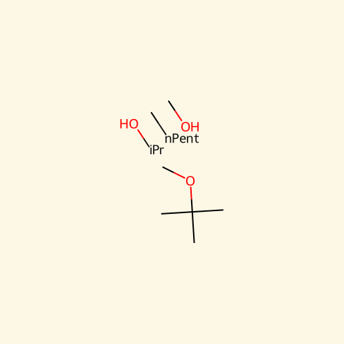 CC(C)O.CCCCCC.CO.COC(C)(C)C